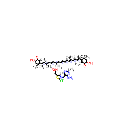 CC1=C(/C=C/C(C)=C/C=C/C(C)=C/C=C/C=C(C)/C=C/C=C(C)/C=C/C2=C(C)C(=O)C(O)CC2(C)C)C(C)(C)CC(O)C1=O.Cc1ncc(C[n+]2csc(CCO)c2C)c(N)n1.[Cl-]